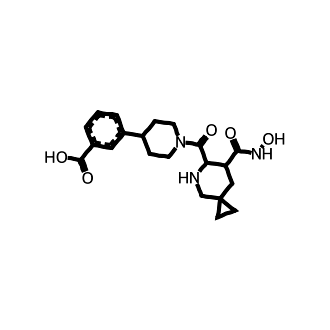 O=C(O)c1cccc(C2CCN(C(=O)C3NCC4(CC4)CC3C(=O)NO)CC2)c1